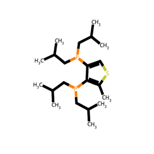 Cc1scc(P(CC(C)C)CC(C)C)c1P(CC(C)C)CC(C)C